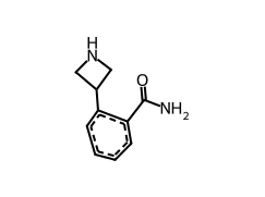 NC(=O)c1ccccc1C1CNC1